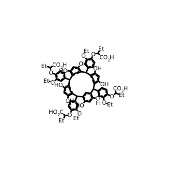 CCOc1cc(C2c3cc(c(O)cc3O)C(c3ccc(OC(CC)C(=O)O)c(OCC)c3)c3cc(c(O)cc3O)C(c3ccc(OC(CC)C(=O)O)c(OCC)c3)c3cc(c(O)cc3O)C(c3ccc(OC(CC)C(=O)O)c(OCC)c3)c3cc2c(O)cc3O)ccc1OC(CC)C(=O)O